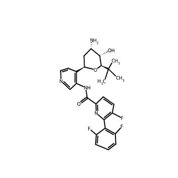 CC(C)(C)[C@H]1O[C@@H](c2ccncc2NC(=O)c2ccc(F)c(-c3c(F)cccc3F)n2)C[C@H](N)[C@@H]1O